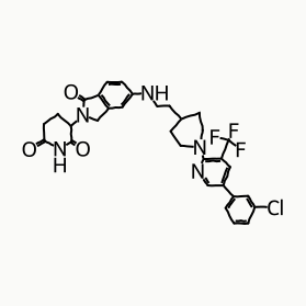 O=C1CCC(N2Cc3cc(NCCC4CCN(c5ncc(-c6cccc(Cl)c6)cc5C(F)(F)F)CC4)ccc3C2=O)C(=O)N1